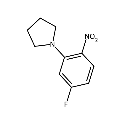 O=[N+]([O-])c1ccc(F)cc1N1CCCC1